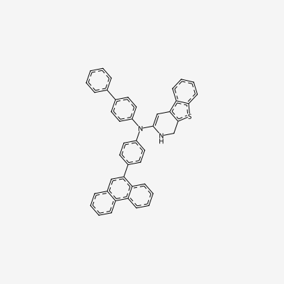 C1=C(N(c2ccc(-c3ccccc3)cc2)c2ccc(-c3cc4ccccc4c4ccccc34)cc2)NCc2sc3ccccc3c21